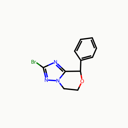 Brc1nc2n(n1)CCOC2c1ccccc1